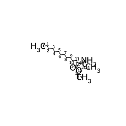 CCCCCCCCCCCCC(C(=O)OCC)=C(N)CC